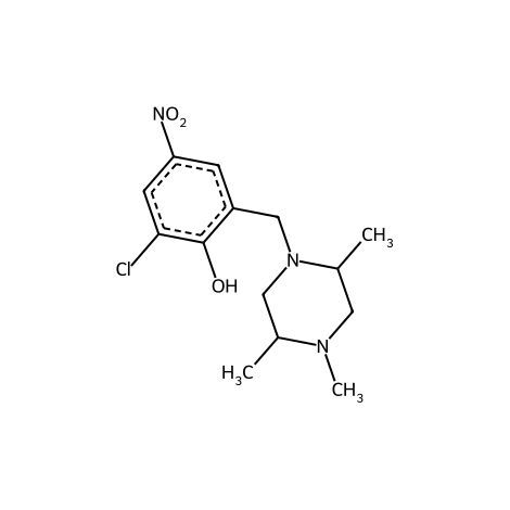 CC1CN(Cc2cc([N+](=O)[O-])cc(Cl)c2O)C(C)CN1C